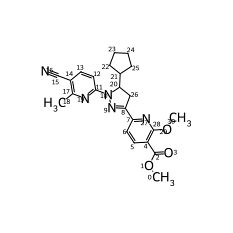 COC(=O)c1ccc(C2=NN(c3ccc(C#N)c(C)n3)C(C3CCCC3)C2)nc1OC